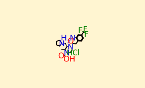 C[C@H]1[C@@H](CN2CCCC2)N(C(=O)Cc2ccc(C(F)(F)F)cc2N)CCN1C(=O)O.Cl